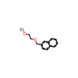 CCOCCOCc1ccc2ccccc2c1